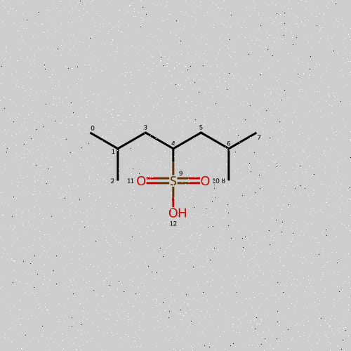 CC(C)CC(CC(C)C)S(=O)(=O)O